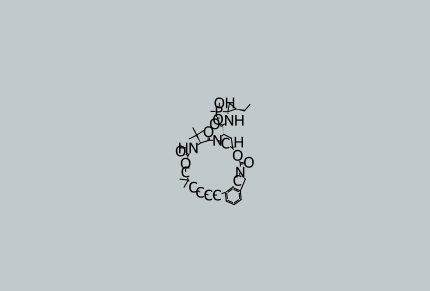 CC[C@@H]1C[C@]1(NC(=O)[C@@H]1C[C@@H]2CN1C(=O)[C@H](C(C)(C)C)NC(=O)OCC(C)(C)CCCCc1cccc3c1CN(C3)C(=O)O2)P(C)(=O)O